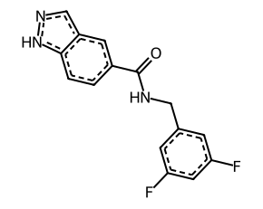 O=C(NCc1cc(F)cc(F)c1)c1ccc2[nH]ncc2c1